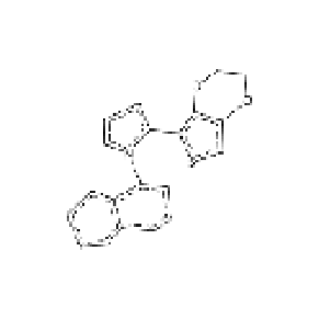 c1ccc2c(-n3cccc3-c3scc4c3OCCO4)cccc2c1